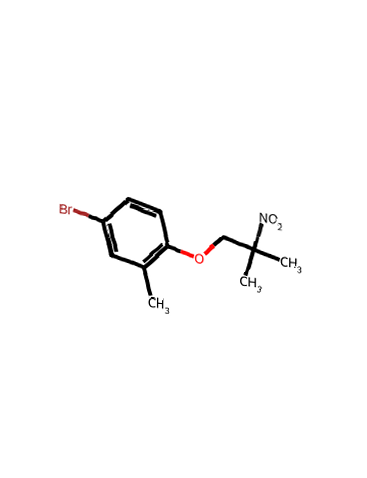 Cc1cc(Br)ccc1OCC(C)(C)[N+](=O)[O-]